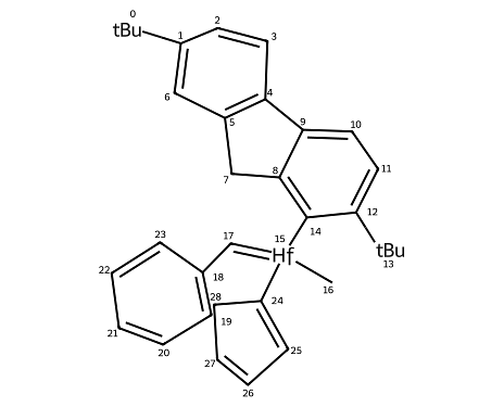 CC(C)(C)c1ccc2c(c1)Cc1c-2ccc(C(C)(C)C)[c]1[Hf]([CH3])(=[CH]c1ccccc1)[C]1=CC=CC1